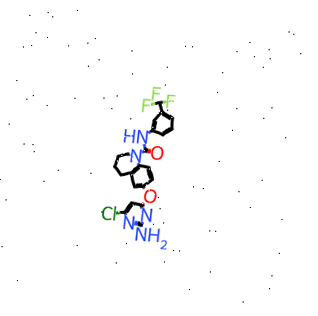 Nc1nc(Cl)cc(Oc2ccc3c(c2)CCCCN3C(=O)Nc2cccc(C(F)(F)F)c2)n1